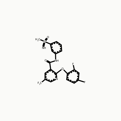 CS(=N)(=O)c1cccc(NC(=O)c2cc(C(F)(F)F)cnc2Oc2ccc(F)cc2F)c1